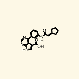 O=C(C=C1CCCC1)Nc1cccc(-c2ncnc3[nH]cc(C(=O)O)c23)c1